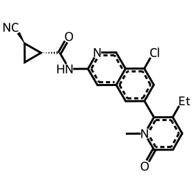 CCc1ccc(=O)n(C)c1-c1cc(Cl)c2cnc(NC(=O)[C@@H]3C[C@H]3C#N)cc2c1